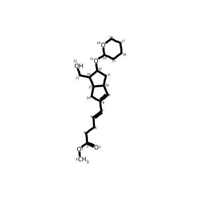 COC(=O)CCC=CC1=CC2CC(OC3CCCCO3)C(CO)C2C1